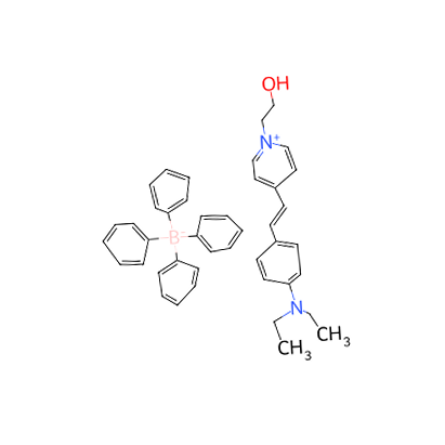 CCN(CC)c1ccc(/C=C/c2cc[n+](CCO)cc2)cc1.c1ccc([B-](c2ccccc2)(c2ccccc2)c2ccccc2)cc1